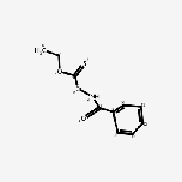 CCOC(=S)SNC(=O)c1ccccc1